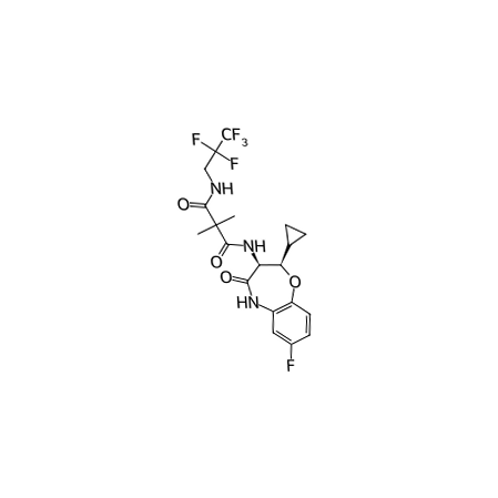 CC(C)(C(=O)NCC(F)(F)C(F)(F)F)C(=O)N[C@@H]1C(=O)Nc2cc(F)ccc2O[C@@H]1C1CC1